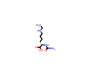 CCNCCCC[C@H](NC(N)=O)C(=O)O